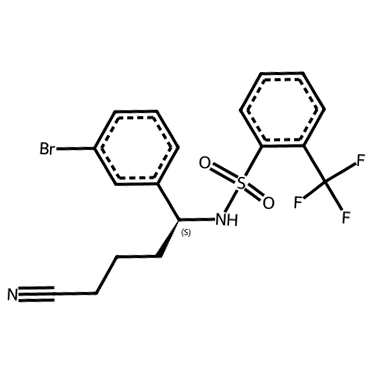 N#CCCC[C@H](NS(=O)(=O)c1ccccc1C(F)(F)F)c1cccc(Br)c1